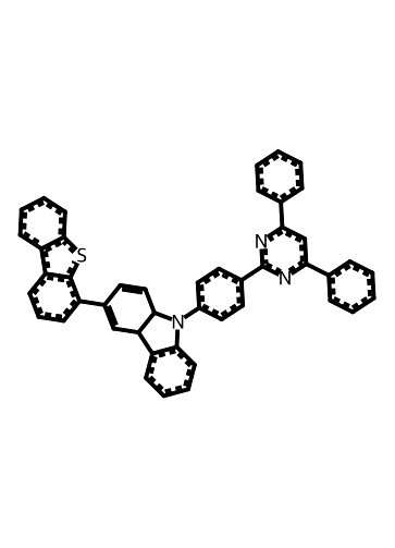 C1=CC2C(C=C1c1cccc3c1sc1ccccc13)c1ccccc1N2c1ccc(-c2nc(-c3ccccc3)cc(-c3ccccc3)n2)cc1